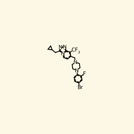 Fc1cc(Br)ccc1N1CCN(Cc2ccn3c(CC4CC4)nnc3c2C(F)(F)F)CC1